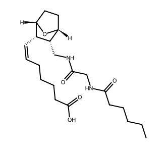 CCCCCC(=O)NCC(=O)NC[C@@H]1[C@H](/C=C\CCCCC(=O)O)[C@@H]2CC[C@H]1O2